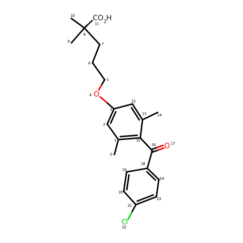 Cc1cc(OCCCC(C)(C)C(=O)O)cc(C)c1C(=O)c1ccc(Cl)cc1